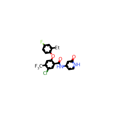 CCc1cc(F)ccc1Oc1cc(C(F)(F)F)c(Cl)cc1C(=O)Nc1cc[nH]c(=O)c1